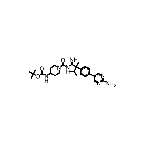 CC(C)C(C)(C(=N)NC(=O)N1CCC(NC(=O)OC(C)(C)C)CC1)c1ccc(-c2cnc(N)nc2)cc1